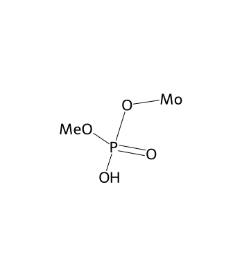 COP(=O)(O)[O][Mo]